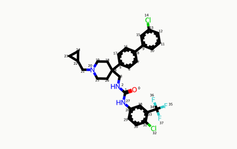 O=C(NCC1(c2ccc(-c3cccc(Cl)c3)cc2)CCN(CC2CC2)CC1)Nc1ccc(Cl)c(C(F)(F)F)c1